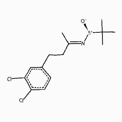 C/C(CCc1ccc(Cl)c(Cl)c1)=N\[S@@+]([O-])C(C)(C)C